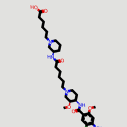 COc1cc(N)c(Cl)cc1C(=O)N[C@@H]1CCN(CCCCCC(=O)N[C@@H]2CCCN(CCCCCC(=O)O)C2)C[C@@H]1OC